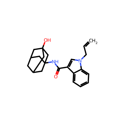 C=CCn1cc(C(=O)NC23CC4CC(CC(O)(C4)C2)C3)c2ccccc21